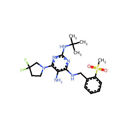 CC(C)(C)Nc1nc(NCc2ccccc2S(C)(=O)=O)c(N)c(N2CCC(F)(F)C2)n1